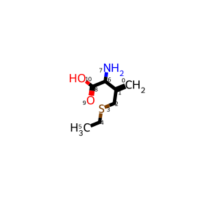 C=C(CSCC)C(N)C(=O)O